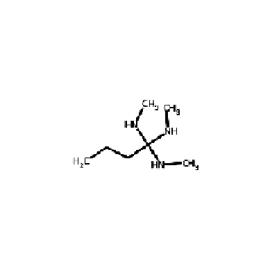 [CH2]CCC(NC)(NC)NC